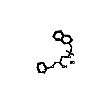 CC(C)(Cc1ccc2ccccc2c1)NCC(O)COc1ccccc1.Cl